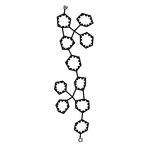 Clc1ccc(-c2ccc3c(c2)C(c2ccccc2)(c2ccccc2)c2cc(-c4ccc(-c5ccc6c(c5)C(c5ccccc5)(c5ccccc5)c5cc(Br)ccc5-6)cc4)ccc2-3)cc1